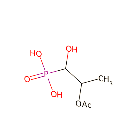 CC(=O)OC(C)C(O)P(=O)(O)O